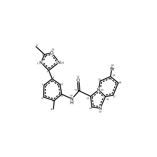 Cc1nc(-c2ccc(C)c(NC(=O)c3cnc4ccc(Br)cn34)c2)no1